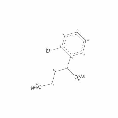 CCc1ccccc1C(CCOC)OC